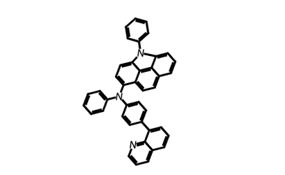 c1ccc(N(c2ccc(-c3cccc4cccnc34)cc2)c2ccc3c4c2ccc2cccc(c24)n3-c2ccccc2)cc1